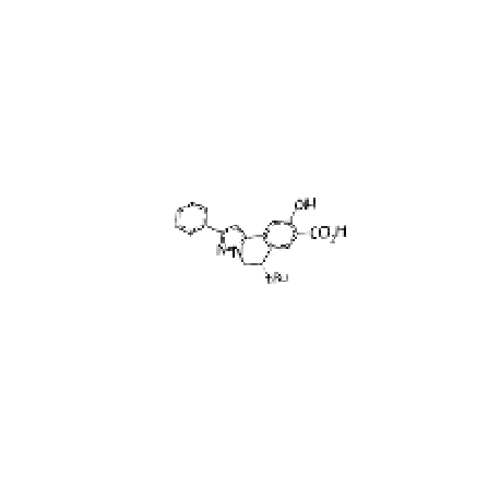 CC(C)(C)[C@@H]1Cn2nc(-c3ccccc3)cc2-c2cc(O)c(C(=O)O)cc21